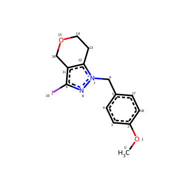 COc1ccc(Cn2nc(I)c3c2CCOC3)cc1